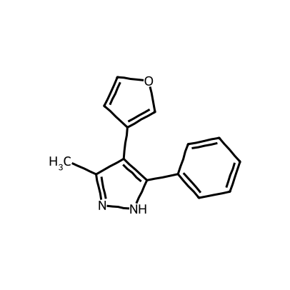 Cc1n[nH]c(-c2ccccc2)c1-c1ccoc1